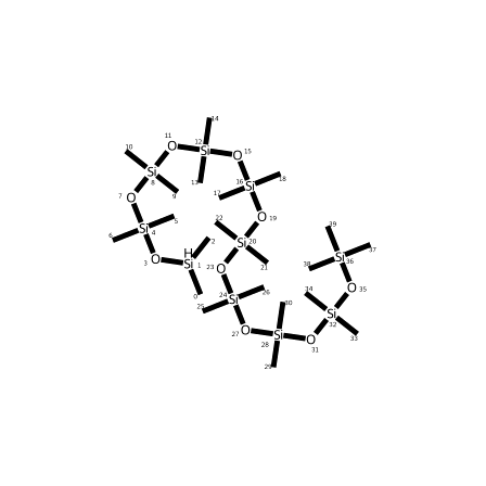 C[SiH](C)O[Si](C)(C)O[Si](C)(C)O[Si](C)(C)O[Si](C)(C)O[Si](C)(C)O[Si](C)(C)O[Si](C)(C)O[Si](C)(C)O[Si](C)(C)C